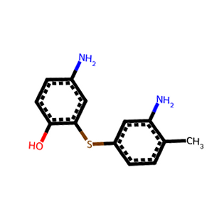 Cc1ccc(Sc2cc(N)ccc2O)cc1N